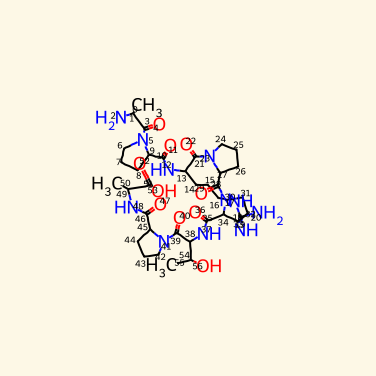 CC(N)C(=O)N1CCCC1C(=O)NC(CCCNC(=N)N)C(=O)N1CCCC1C(=O)N1CCCC1C(=O)NC(C(=O)N1CCCC1C(=O)NC(C)C(=O)O)C(C)O